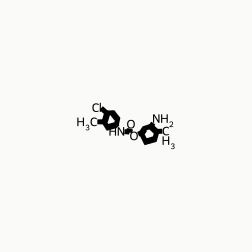 Cc1ccc(OC(=O)Nc2ccc(Cl)c(C)c2)cc1N